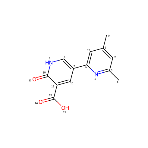 Cc1cc(C)nc(-c2c[nH]c(=O)c(C(=O)O)c2)c1